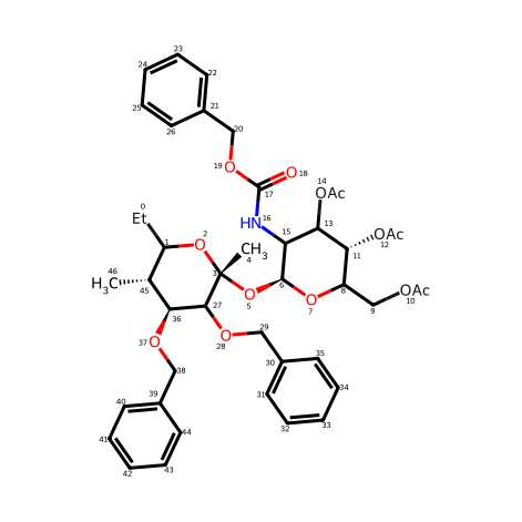 CCC1O[C@](C)(O[C@@H]2OC(COC(C)=O)[C@@H](OC(C)=O)C(OC(C)=O)C2NC(=O)OCc2ccccc2)C(OCc2ccccc2)[C@@H](OCc2ccccc2)[C@@H]1C